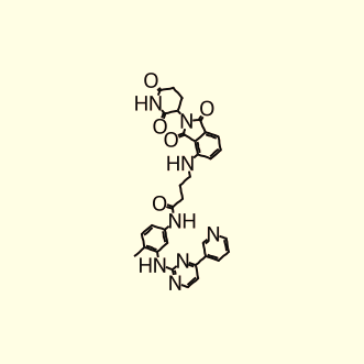 Cc1ccc(NC(=O)CCCNc2cccc3c2C(=O)N(C2CCC(=O)NC2=O)C3=O)cc1Nc1nccc(-c2cccnc2)n1